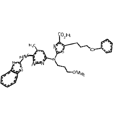 COCCCN(c1cc(C)c(Nc2nc3ccccc3s2)nn1)c1nc(C(=O)O)c(CCCOc2ccccc2)s1